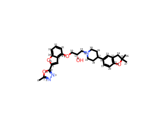 Cc1nnc(-c2cc3c(OC[C@@H](O)CN4CCC(c5ccc6c(c5)CC(C)(C)O6)CC4)cccc3o2)o1